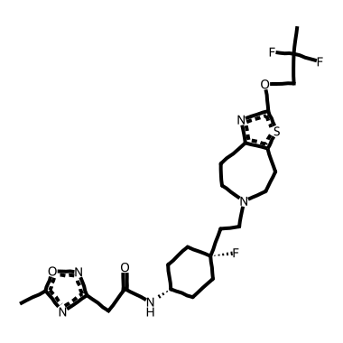 Cc1nc(CC(=O)N[C@H]2CC[C@](F)(CCN3CCc4nc(OCC(C)(F)F)sc4CC3)CC2)no1